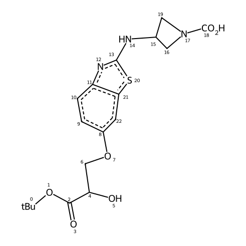 CC(C)(C)OC(=O)C(O)COc1ccc2nc(NC3CN(C(=O)O)C3)sc2c1